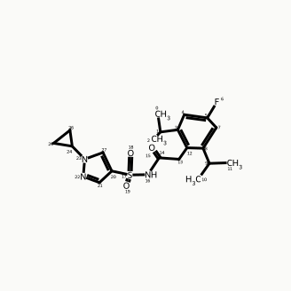 CC(C)c1cc(F)cc(C(C)C)c1CC(=O)NS(=O)(=O)c1cnn(C2CC2)c1